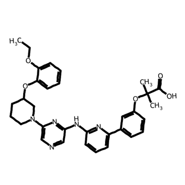 CCOc1ccccc1OC1CCCN(c2cncc(Nc3cccc(-c4cccc(OC(C)(C)C(=O)O)c4)n3)n2)C1